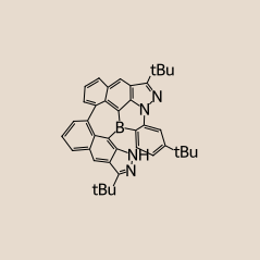 CC(C)(C)c1ccc2c(c1)-n1nc(C(C)(C)C)c3cc4cccc5c4c(c31)B2c1c2[nH]nc(C(C)(C)C)c2cc2cccc-5c12